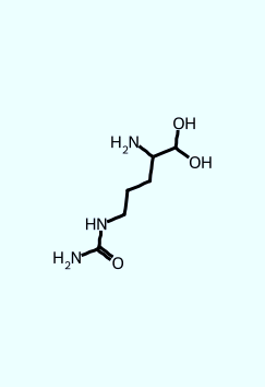 NC(=O)NCCCC(N)C(O)O